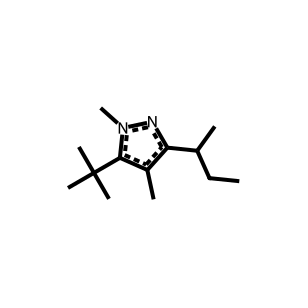 CCC(C)c1nn(C)c(C(C)(C)C)c1C